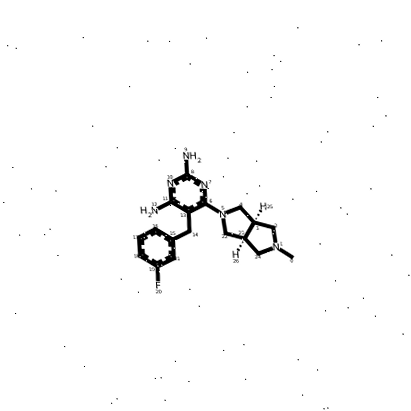 CN1C[C@@H]2CN(c3nc(N)nc(N)c3Cc3cccc(F)c3)C[C@@H]2C1